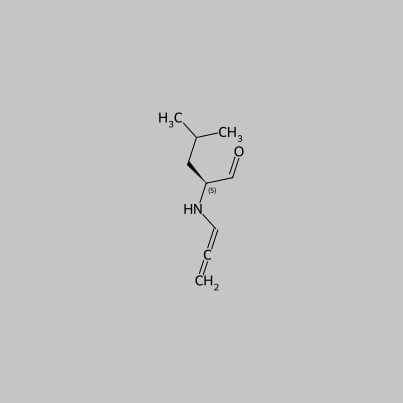 C=C=CN[C@H](C=O)CC(C)C